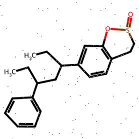 CCC(CC(CC)c1ccc2c(c1)OS(=O)CC2)c1ccccc1